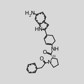 Nc1ccc2cc(C3=CC=C(NC(=O)[C@@H]4CCCN4C(=O)Cc4ccccc4)CC3)[nH]c2c1